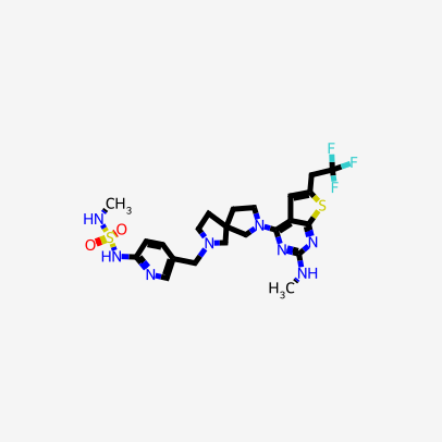 CNc1nc(N2CCC3(CCN(Cc4ccc(NS(=O)(=O)NC)nc4)C3)C2)c2cc(CC(F)(F)F)sc2n1